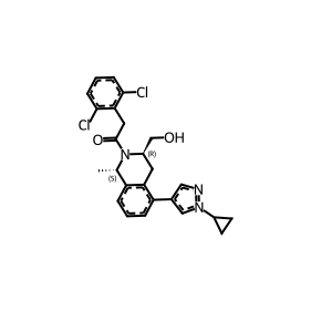 C[C@H]1c2cccc(-c3cnn(C4CC4)c3)c2C[C@H](CO)N1C(=O)Cc1c(Cl)cccc1Cl